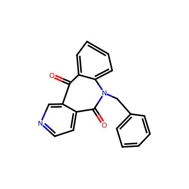 O=c1c2cnccc2c(=O)n(Cc2ccccc2)c2ccccc12